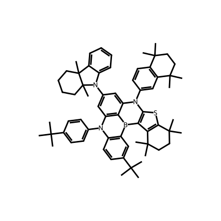 CC(C)(C)c1ccc(N2c3ccc(C(C)(C)C)cc3B3c4c2cc(N2c5ccccc5C5(C)CCCCC25C)cc4N(c2ccc4c(c2)C(C)(C)CCC4(C)C)c2sc4c(c23)C(C)(C)CCC4(C)C)cc1